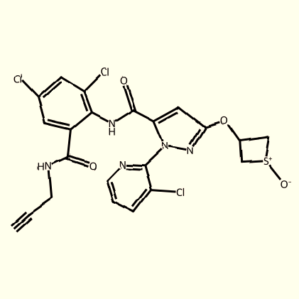 C#CCNC(=O)c1cc(Cl)cc(Cl)c1NC(=O)c1cc(OC2C[S+]([O-])C2)nn1-c1ncccc1Cl